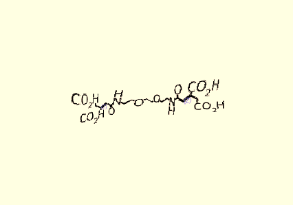 O=C(O)C/C(=C/C(=O)NCCOCCOCCNC(=O)/C=C(/CC(=O)O)C(=O)O)C(=O)O